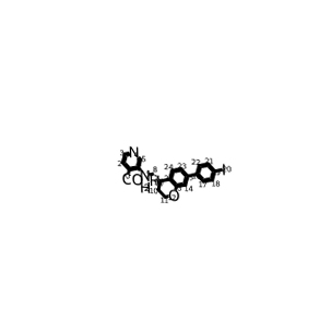 O=C(O)c1ccncc1NC[C@H]1CCOc2cc(-c3ccc(I)cc3)ccc21